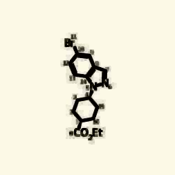 CCOC(=O)[C@H]1CC[C@@H](n2ncc3cc(Br)ccc32)CC1